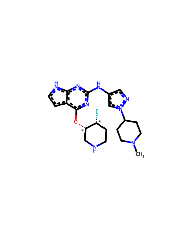 CN1CCC(n2cc(Nc3nc(O[C@H]4CNCC[C@H]4F)c4cc[nH]c4n3)cn2)CC1